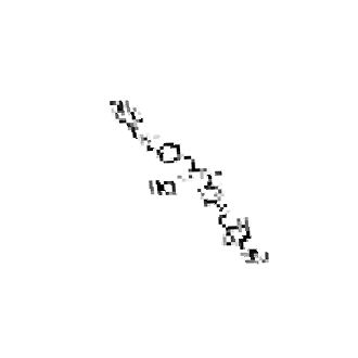 CC(C)(C)c1cnc(CSc2cnc(NC(=O)Cc3ccc(CNC[C@@H](O)CO)cc3)s2)o1.Cl